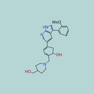 COc1ccccc1-c1c[nH]c2ncc(C3=CC=C(CN4CCC(CO)CC4)C(O)C3)cc12